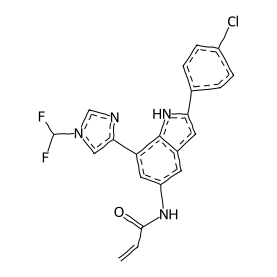 C=CC(=O)Nc1cc(-c2cn(C(F)F)cn2)c2[nH]c(-c3ccc(Cl)cc3)cc2c1